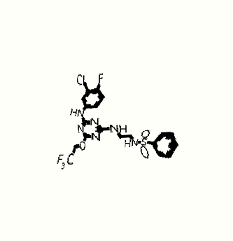 O=S(=O)(NCCNc1nc(Nc2ccc(F)c(Cl)c2)nc(OCC(F)(F)F)n1)c1ccccc1